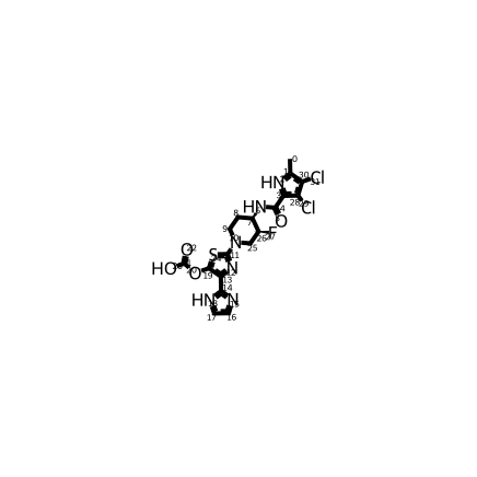 Cc1[nH]c(C(=O)N[C@@H]2CCN(c3nc(-c4ncc[nH]4)c(OC(=O)O)s3)C[C@@H]2F)c(Cl)c1Cl